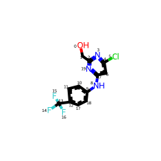 OCc1nc(Cl)cc(Nc2ccc(C(F)(F)F)cc2)n1